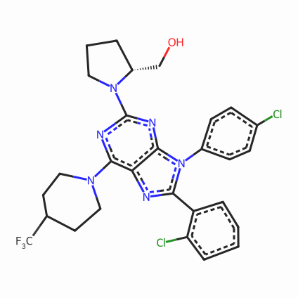 OC[C@H]1CCCN1c1nc(N2CCC(C(F)(F)F)CC2)c2nc(-c3ccccc3Cl)n(-c3ccc(Cl)cc3)c2n1